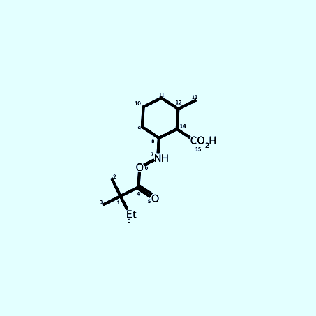 CCC(C)(C)C(=O)ONC1CCCC(C)C1C(=O)O